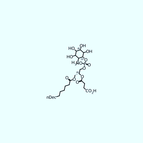 CCCCCCCCCCCCCCCC(=O)OC[C@H](COP(=O)(O)O[C@H]1C(C)C(O)C(O)[C@@H](O)C1O)OC(=O)CCC(=O)O